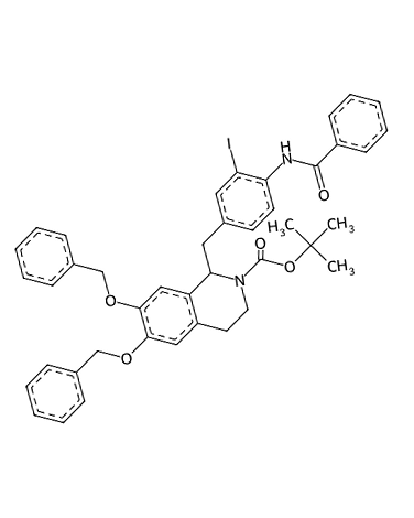 CC(C)(C)OC(=O)N1CCc2cc(OCc3ccccc3)c(OCc3ccccc3)cc2C1Cc1ccc(NC(=O)c2ccccc2)c(I)c1